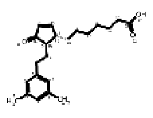 Cc1cc(C)cc(CC[C@H]2C(=O)C=C[C@@H]2CCCCCCC(=O)O)c1